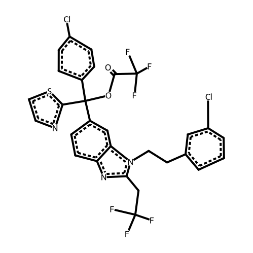 O=C(OC(c1ccc(Cl)cc1)(c1ccc2nc(CC(F)(F)F)n(CCc3cccc(Cl)c3)c2c1)c1nccs1)C(F)(F)F